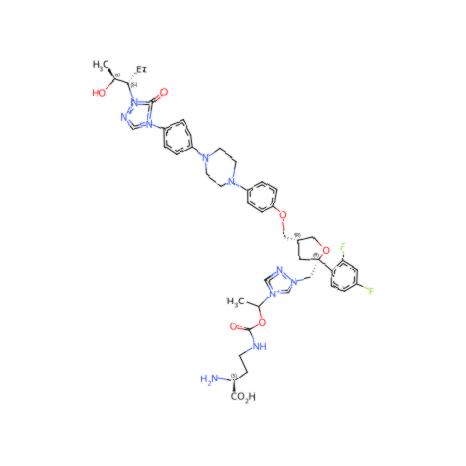 CC[C@@H]([C@H](C)O)n1ncn(-c2ccc(N3CCN(c4ccc(OC[C@@H]5CO[C@@](Cn6c[n+](C(C)OC(=O)NCC[C@H](N)C(=O)O)cn6)(c6ccc(F)cc6F)C5)cc4)CC3)cc2)c1=O